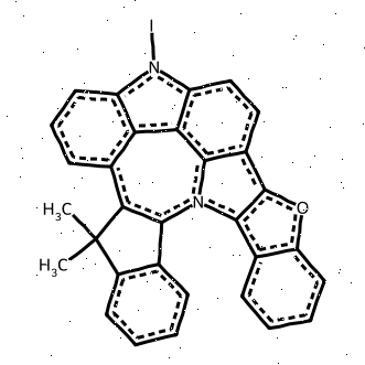 CC1(C)c2ccccc2-c2c1c1cccc3c1c1c(ccc4c5oc6ccccc6c5n2c41)n3I